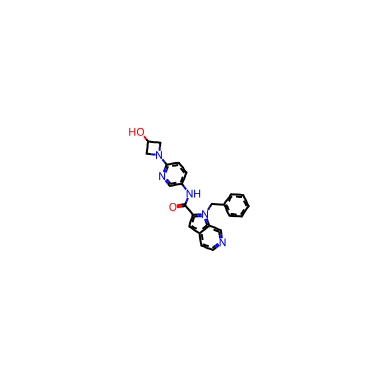 O=C(Nc1ccc(N2CC(O)C2)nc1)c1cc2ccncc2n1Cc1ccccc1